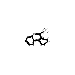 Cc1nc2ccccc2c2ccccc12